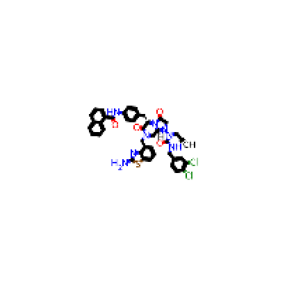 C#CCN(C(=O)NCc1ccc(Cl)c(Cl)c1)N1CC(=O)N2[C@@H](Cc3ccc(NC(=O)c4cccc5ccccc45)cc3)C(=O)N(Cc3cccc4sc(N)nc34)C[C@@H]21